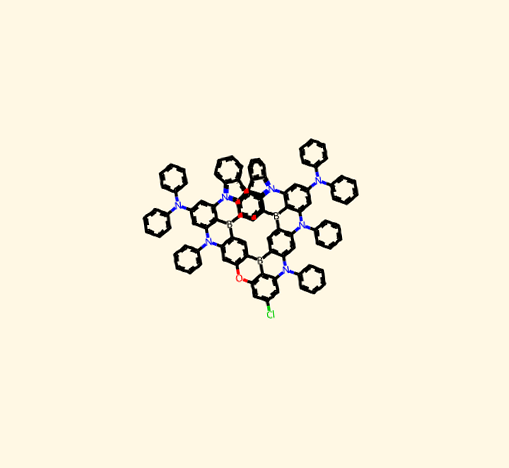 Clc1cc2c3c(c1)N(c1ccccc1)c1cc4c(cc1B3c1cc3c(cc1O2)N(c1ccccc1)c1cc(N(c2ccccc2)c2ccccc2)cc2c1B3c1cccc3c5ccccc5n-2c13)B1c2c(cc(N(c3ccccc3)c3ccccc3)cc2-n2c3ccccc3c3cccc1c32)N4c1ccccc1